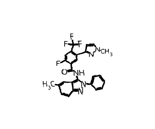 Cc1ccc2nn(-c3ccccc3)c(NC(=O)c3cc(-c4ccn(C)n4)c(C(F)(F)F)cc3F)c2c1